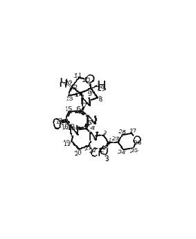 O=C(CN1c2nc(N3C[C@H]4OC[C@@H]5CC543)cc(=O)n2CC[C@H]1C(F)(F)F)C1CCOCC1